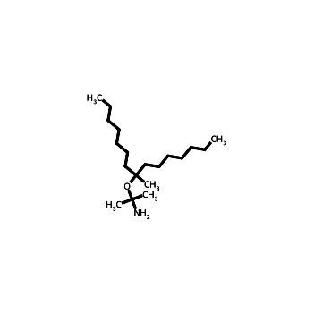 CCCCCCCC(C)(CCCCCCC)OC(C)(C)N